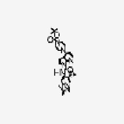 COc1cn2nc(C)nc2cc1NC(=O)N1CCc2c(N3CCN(C(=O)OC(C)(C)C)[C@@H](C)C3)ccnc21